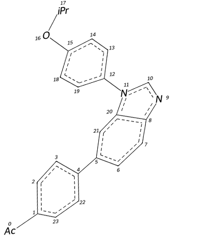 CC(=O)c1ccc(-c2ccc3ncn(-c4ccc(OC(C)C)cc4)c3c2)cc1